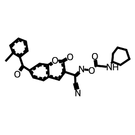 Cc1ccccc1C(=O)c1ccc2cc(/C(C#N)=N/OC(=O)NC3CCCCC3)c(=O)oc2c1